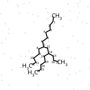 CCCCCCCC(CCCCC)CC(CCC)CCCCC